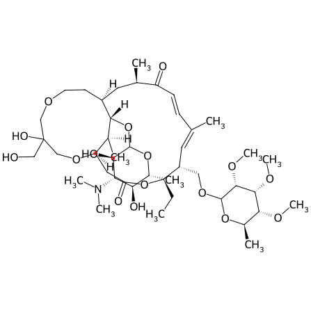 CC[C@H]1OC(=O)C[C@H]2OCC(O)(CO)COCC[C@@H](C[C@@H](C)C(=O)/C=C/C(C)=C/[C@@H]1COC1O[C@H](C)[C@@H](OC)[C@@H](OC)[C@H]1OC)[C@H](OC1O[C@H](C)[C@@H](O)[C@H](N(C)C)[C@H]1O)[C@H]2C